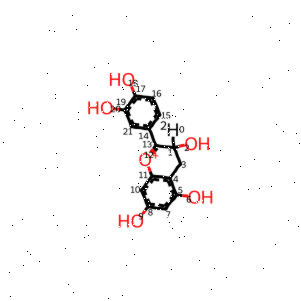 [2H]C1(O)Cc2c(O)cc(O)cc2[O+]=C1c1ccc(O)c(O)c1